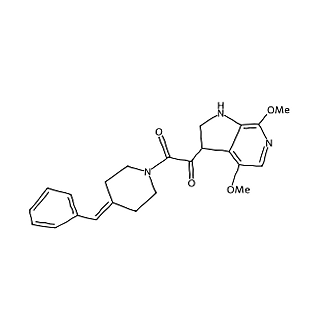 COc1cnc(OC)c2c1C(C(=O)C(=O)N1CCC(=Cc3ccccc3)CC1)CN2